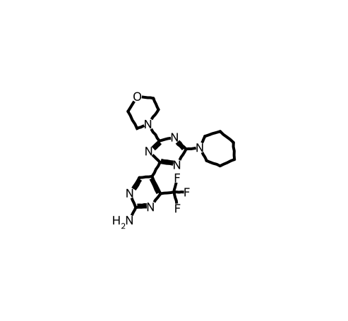 Nc1ncc(-c2nc(N3CCCCCC3)nc(N3CCOCC3)n2)c(C(F)(F)F)n1